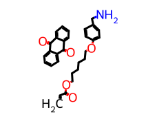 C=CC(=O)OCCCCCCOc1ccc(CN)cc1.O=C1c2ccccc2C(=O)c2ccccc21